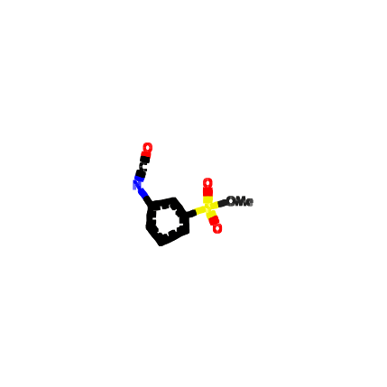 COS(=O)(=O)c1cccc(N=C=O)c1